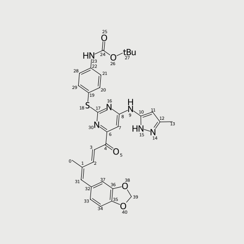 CC(C=CC(=O)c1cc(Nc2cc(C)n[nH]2)nc(Sc2ccc(NC(=O)OC(C)(C)C)cc2)n1)=Cc1ccc2c(c1)OCO2